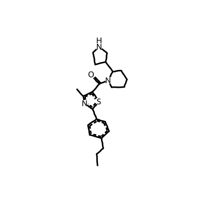 CCCc1ccc(-c2nc(C)c(C(=O)N3CCCCC3C3CCNC3)s2)cc1